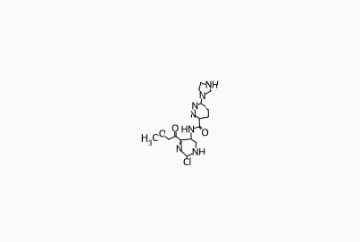 COCC(=O)C1=NC(Cl)NCC1NC(=O)C1CCC(N2CCNC2)N=N1